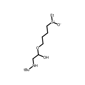 CC[S+]([O-])CCCCOC(O)CNC(C)(C)C